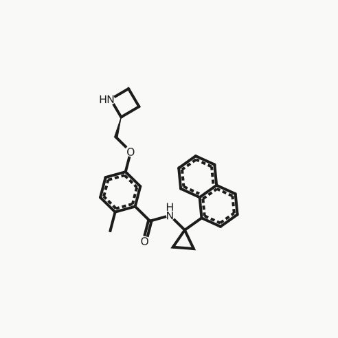 Cc1ccc(OC[C@@H]2CCN2)cc1C(=O)NC1(c2cccc3ccccc23)CC1